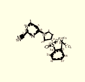 N#Cc1nccc(N2CC[C@H](S(=O)(=O)c3ccccc3C(F)(F)F)C2)n1